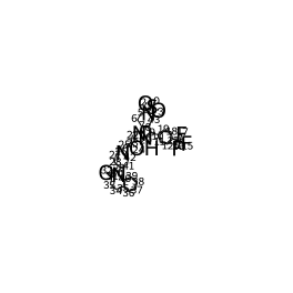 CS(=O)(=O)N1CCc2c(c(-c3ccc(C(F)(F)F)cc3)nn2CC(O)CN2CCC(N3C(=O)CCc4ccccc43)CC2)C1